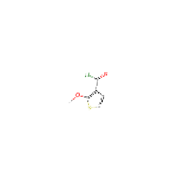 COc1sccc1C(=O)Cl